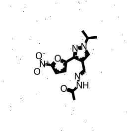 CC(=O)N/N=C/c1cn(C(C)C)nc1-c1ccc([N+](=O)[O-])o1